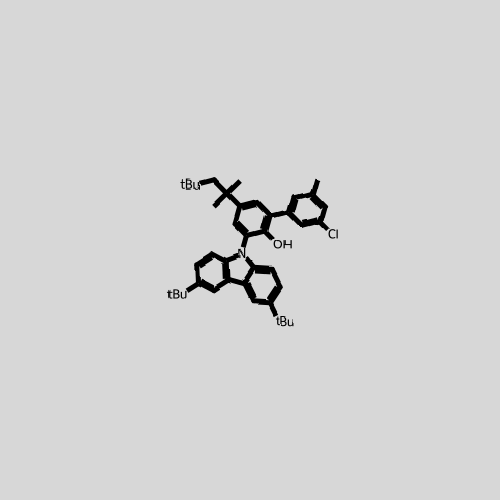 Cc1cc(Cl)cc(-c2cc(C(C)(C)CC(C)(C)C)cc(-n3c4ccc(C(C)(C)C)cc4c4cc(C(C)(C)C)ccc43)c2O)c1